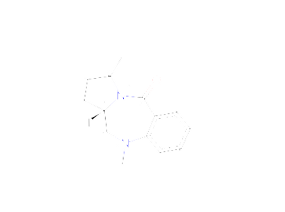 CC1CC[C@H]2CN(C)c3ccccc3C(=O)N12